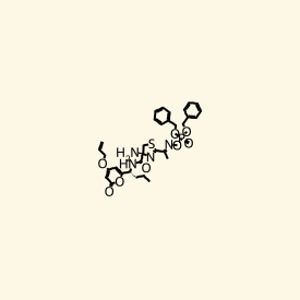 C=CCOc1cc([C@@H](CCC)NC(=O)[C@]2(N)CSC(/C(C)=N/OP(=O)(OCc3ccccc3)OCc3ccccc3)=N2)oc(=O)c1